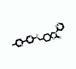 Cc1ccc(-c2ccc(NCC3CCC4(CC3)CN(c3cccnn3)C(=O)O4)nc2)nc1